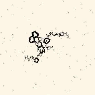 COCCN=C=N[C@H]1CC[C@@H](N(C)c2nc(OC[C@@H]3CCCN3C)nc3c2CCN(c2cccc4cccc(C)c24)C3)CC1